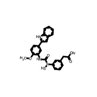 COc1ccc(-c2cc3ccccc3[nH]2)cc1NC(=O)N(S)c1cccc(CC(=O)O)c1